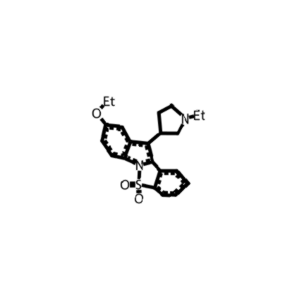 CCOc1ccc2c(c1)c(C1CCN(CC)C1)c1n2S(=O)(=O)c2ccccc2-1